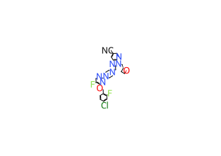 N#Cc1cnc2c(c1)nc(CN1CCN(c3ncc(F)c(OCc4ccc(Cl)cc4F)n3)CC1)n2C[C@@H]1CCO1